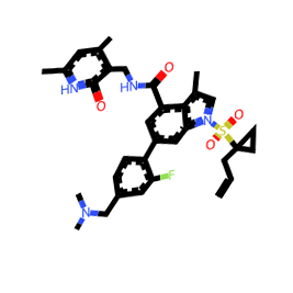 C=CCC1(S(=O)(=O)n2cc(C)c3c(C(=O)NCc4c(C)cc(C)[nH]c4=O)cc(-c4ccc(CN(C)C)cc4F)cc32)CC1